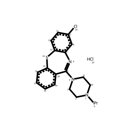 CC(C)N1CCN(C2=Nc3cc(Cl)ccc3Sc3ccccc32)CC1.Cl